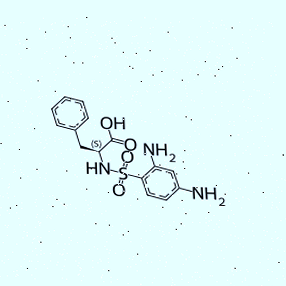 Nc1ccc(S(=O)(=O)N[C@@H](Cc2ccccc2)C(=O)O)c(N)c1